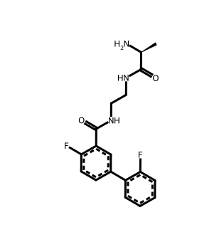 C[C@H](N)C(=O)NCCNC(=O)c1cc(-c2ccccc2F)ccc1F